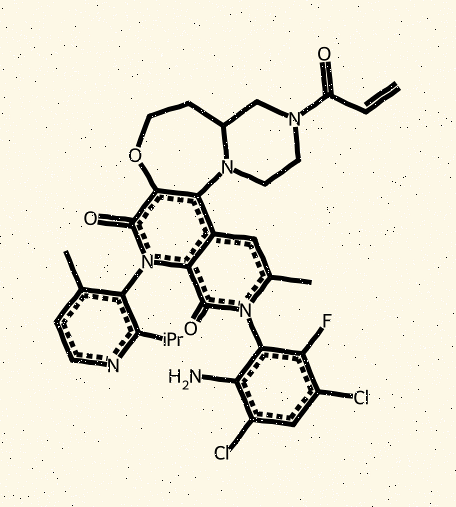 C=CC(=O)N1CCN2c3c(c(=O)n(-c4c(C)ccnc4C(C)C)c4c(=O)n(-c5c(N)c(Cl)cc(Cl)c5F)c(C)cc34)OCCC2C1